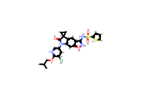 CC(C)COc1ncc(N2C(=O)C3(CC3)c3cc4c(NS(=O)(=O)c5cccs5)noc4cc32)cc1Cl